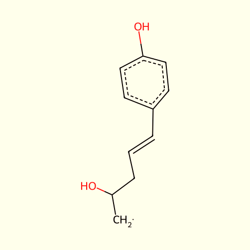 [CH2]C(O)CC=Cc1ccc(O)cc1